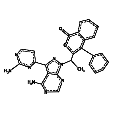 CC(c1oc(=O)c2ccccc2c1-c1ccccc1)n1nc(-c2ccnc(N)n2)c2c(N)ncnc21